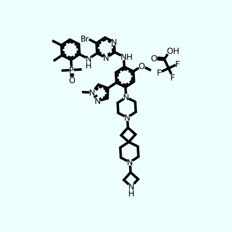 COc1cc(N2CCN(C3CC4(CCN(C5CNC5)CC4)C3)CC2)c(-c2cnn(C)c2)cc1Nc1ncc(Br)c(Nc2ccc(C)c(C)c2P(C)(C)=O)n1.O=C(O)C(F)(F)F